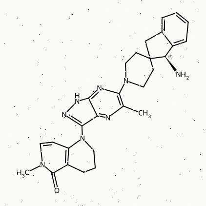 Cc1nc2c(N3CCCc4c3ccn(C)c4=O)n[nH]c2nc1N1CCC2(CC1)Cc1ccccc1[C@H]2N